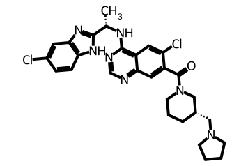 C[C@H](Nc1ncnc2cc(C(=O)N3CCC[C@@H](CN4CCCC4)C3)c(Cl)cc12)c1nc2cc(Cl)ccc2[nH]1